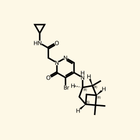 C[C@@H]1[C@H]2C[C@@H](C[C@H]1Nc1cnn(CC(=O)NC3CC3)c(=O)c1Br)C2(C)C